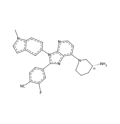 Cn1ccc2cc(-n3c(-c4ccc(C#N)c(F)c4)nc4c(N5CCC[C@@H](N)C5)ccnc43)ccc21